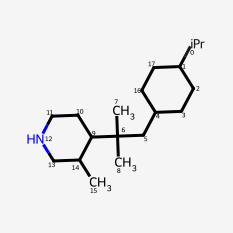 CC(C)C1CCC(CC(C)(C)C2CCNCC2C)CC1